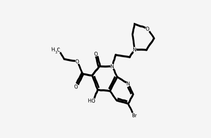 CCOC(=O)c1c(O)c2cc(Br)cnc2n(CCN2CCOCC2)c1=O